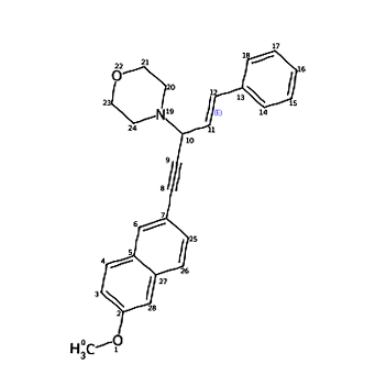 COc1ccc2cc(C#CC(/C=C/c3ccccc3)N3CCOCC3)ccc2c1